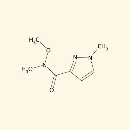 CON(C)C(=O)c1ccn(C)n1